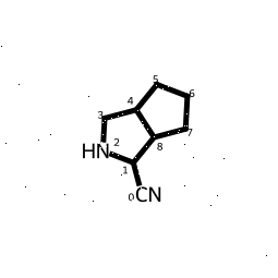 N#CC1NCC2CCCC21